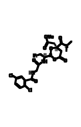 COC(=O)C[C@]1(C(=O)N(C)C)CC(=O)OB([C@H](CC(C)C)NC(=O)CNC(=O)c2cc(Cl)ccc2Cl)O1